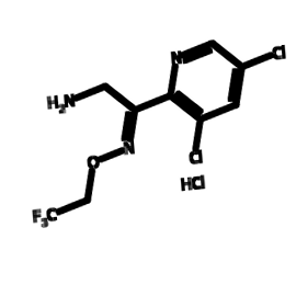 Cl.NCC(=NOCC(F)(F)F)c1ncc(Cl)cc1Cl